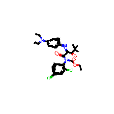 CCOC(=O)N(C(=O)C(=Nc1ccc(N(CC)CC)cc1)C(=O)C(C)(C)C)c1ccc(Cl)cc1Cl